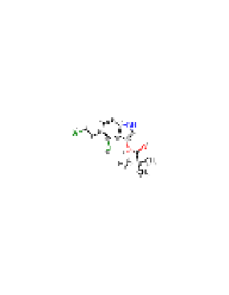 CC(C)(C)C(=O)Oc1c[nH]c2ccc(CCBr)c(Cl)c12